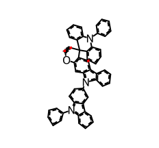 c1ccc(N2c3ccccc3C3(c4ccccc4Oc4cc5c(cc43)c3ccccc3n5-c3ccc4c(c3)c3ccccc3n4-c3ccccc3)c3ccccc32)cc1